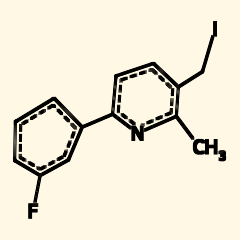 Cc1nc(-c2cccc(F)c2)ccc1CI